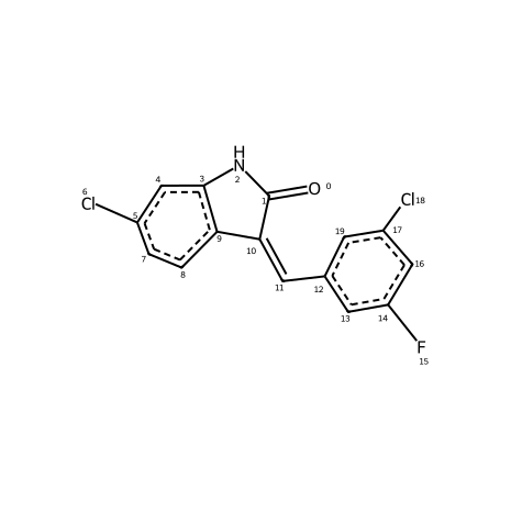 O=C1Nc2cc(Cl)ccc2C1=Cc1cc(F)cc(Cl)c1